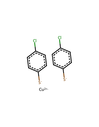 [Cu+2].[S-]c1ccc(Cl)cc1.[S-]c1ccc(Cl)cc1